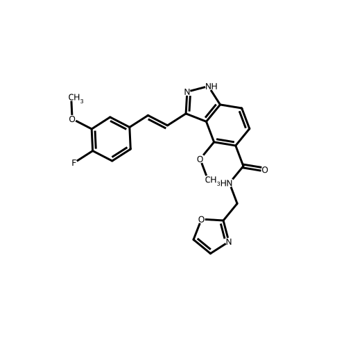 COc1cc(/C=C/c2n[nH]c3ccc(C(=O)NCc4ncco4)c(OC)c23)ccc1F